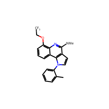 CNc1nc2c(OCC(F)(F)F)cccc2c2c1ccn2-c1ccccc1C